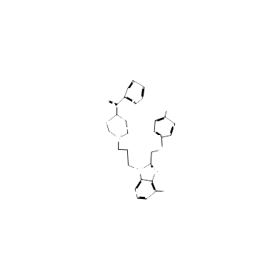 Cc1cccc2c1nc(COc1ccc(Cl)cc1)n2CCCN1CCC(C(=O)c2ccccc2)CC1